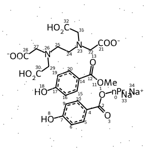 CCCOC(=O)c1ccc(O)cc1.COC(=O)c1ccc(O)cc1.O=C([O-])CN(CCN(CC(=O)[O-])CC(=O)O)CC(=O)O.[Na+].[Na+]